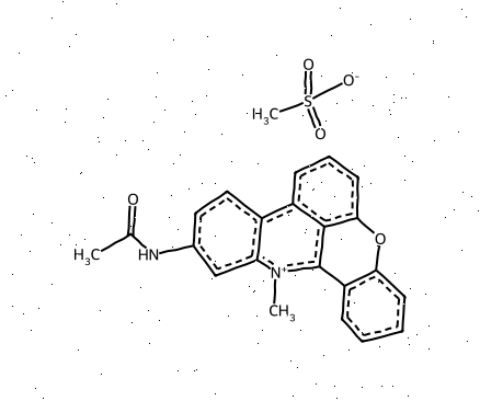 CC(=O)Nc1ccc2c3cccc4c3c([n+](C)c2c1)-c1ccccc1O4.CS(=O)(=O)[O-]